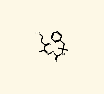 CC(=NOC(=O)NC(C)(C)Cc1ccccc1)C(=O)CCO